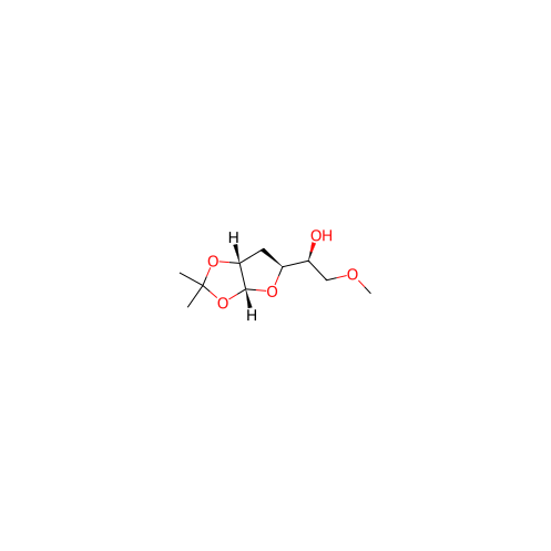 COC[C@H](O)[C@@H]1C[C@H]2OC(C)(C)O[C@H]2O1